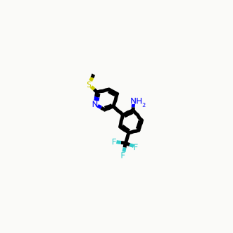 CSc1ccc(-c2cc(C(F)(F)F)ccc2N)cn1